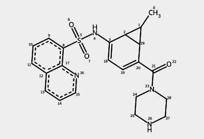 CC1C2C(NS(=O)(=O)c3cccc4cccnc34)=CC=C(C(=O)N3CCNCC3)C12